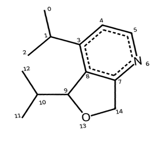 CC(C)c1ccnc2c1C(C(C)C)OC2